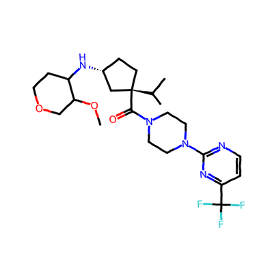 COC1COCCC1N[C@@H]1CC[C@@](C(=O)N2CCN(c3nccc(C(F)(F)F)n3)CC2)(C(C)C)C1